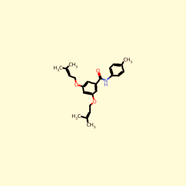 CC(C)=CCOc1cc(OCC=C(C)C)cc(C(=O)Nc2ccc(C)cc2)c1